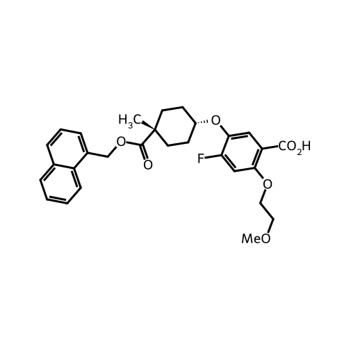 COCCOc1cc(F)c(O[C@H]2CC[C@@](C)(C(=O)OCc3cccc4ccccc34)CC2)cc1C(=O)O